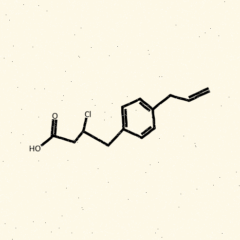 C=CCc1ccc(CC(Cl)CC(=O)O)cc1